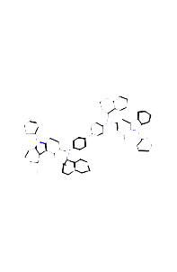 CC1CC=Cc2c1c1c(n2C2=CC=CCC2)C=CC(N(c2ccc(C3C=CC(N(C4=CC(C)C5C(=C4)c4ccccc4N5C4=CC=CCC4)C4=C5C=CC=CC5CCC4)=CC3)cc2)c2cccc3ccccc23)C1C